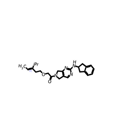 C/C=C(/CCOCC(=O)N1Cc2cnc(NC3Cc4ccccc4C3)nc2C1)C(C)C